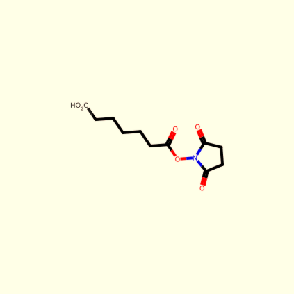 O=C(O)CCCCCC(=O)ON1C(=O)CCC1=O